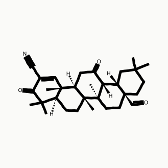 CC1(C)CC[C@]2(C=O)CC[C@]3(C)[C@H](C(=O)C[C@@H]4[C@@]5(C)C=C(C#N)C(=O)C(C)(C)[C@@H]5CC[C@]43C)[C@@H]2C1